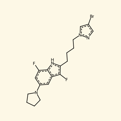 Fc1c(CCCCn2cc(Br)cn2)[nH]c2c(F)cc(N3CCCC3)cc12